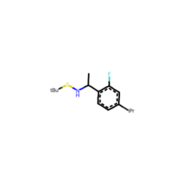 CC(C)c1ccc(C(C)NSC(C)(C)C)c(F)c1